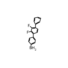 Bc1ccc(-c2ccc(-c3ccccc3)c(F)c2F)cc1